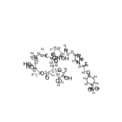 CC[C@H]1OC(=O)[C@H](C)[C@@H](C2C[C@@](C)(OC)[C@@H](O)[C@H](C)O2)[C@H](C)[C@@H](O[C@@H]2O[C@H](C)C[C@H](N(C)CCc3cn(C[C@H](F)COc4ccc(S(C)(=O)=O)cc4)nn3)[C@H]2O)[C@](C)(O)C[C@@H](C)CN(C)[C@H](C)[C@@H](O)[C@]1(C)O